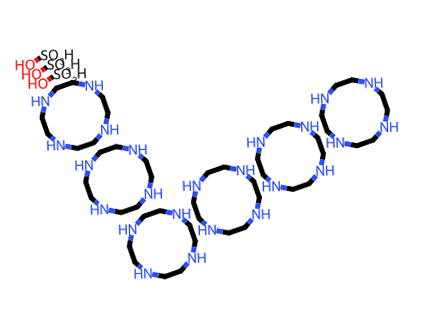 C1CNCCNCCNCCN1.C1CNCCNCCNCCN1.C1CNCCNCCNCCN1.C1CNCCNCCNCCN1.C1CNCCNCCNCCN1.C1CNCCNCCNCCN1.O=S(=O)(O)O.O=S(=O)(O)O.O=S(=O)(O)O